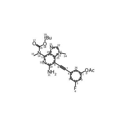 CC(=O)Oc1cc(F)cc(C#Cc2c(N)nc(N(C)C(=O)OC(C)(C)C)c3ncn(C)c23)c1